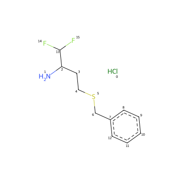 Cl.NC(CCSCc1ccccc1)C(F)F